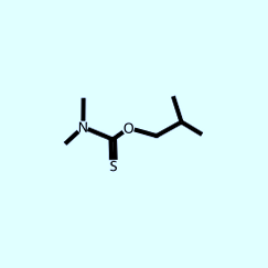 CC(C)COC(=S)N(C)C